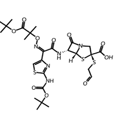 CC(C)(C)OC(=O)Nc1nc(/C(=N/OC(C)(C)C(=O)OC(C)(C)C)C(=O)N[C@@H]2C(=O)N3C[C@](SCC=O)(C(=O)O)S[C@H]23)cs1